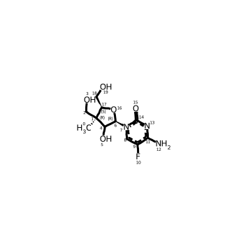 C[C@@]1(CO)C(O)[C@H](n2cc(F)c(N)nc2=O)O[C@@H]1CO